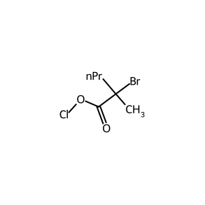 CCCC(C)(Br)C(=O)OCl